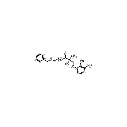 CC(C)(COc1cccc(N)c1C#N)C(=O)NCCOCc1ccccc1